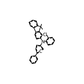 CC1(C)c2ccccc2-c2ccc(N(c3ccc(-c4ccccc4)cc3)c3ccccc3Cl)cc21